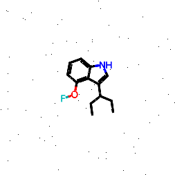 CCC(CC)c1c[nH]c2cccc(OF)c12